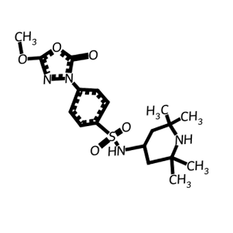 COc1nn(-c2ccc(S(=O)(=O)NC3CC(C)(C)NC(C)(C)C3)cc2)c(=O)o1